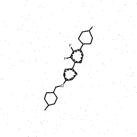 CC1CCC(COc2ccc(-c3ccc(C4CCC(C)CC4)c(F)c3F)cc2)CC1